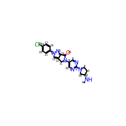 CN[C@H]1CCN(c2ncc(N3Cc4cn(-c5ccc(Cl)cc5)nc4C3=O)cn2)C1